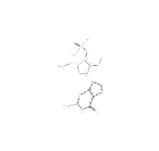 CO[C@@H]1[C@H](OP(O)(O)=S)[C@@H](CO)O[C@H]1n1cnc2c(=O)[nH]c(N)nc21